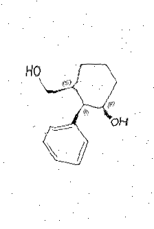 OC[C@H]1CCC[C@@H](O)[C@H]1c1ccccc1